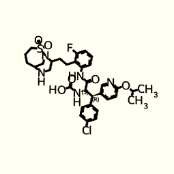 CC(C)Oc1ccc([C@@H](c2ccc(Cl)cc2)[C@H](NC(=O)O)C(=O)Nc2cccc(F)c2CCC2CNC3CCCS(=O)(=O)N2C3)cn1